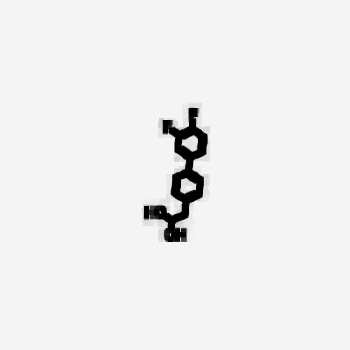 OC(O)Cc1ccc(-c2ccc(F)c(F)c2)cc1